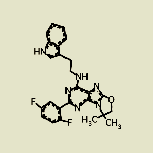 CC1(C)COc2nc3c(NCCc4c[nH]c5ccccc45)nc(-c4cc(F)ccc4F)nc3n21